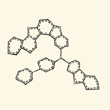 c1ccc(-c2ccc(N(c3ccc4c(c3)oc3ccccc34)c3ccc4sc5ccc6sc7c8ccccc8ccc7c6c5c4c3)cc2)cc1